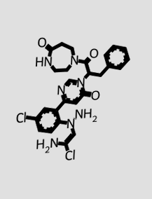 N/C(Cl)=C\N(N)c1ccc(Cl)cc1-c1cc(=O)n(C(Cc2ccccc2)C(=O)N2CCNC(=O)CC2)cn1